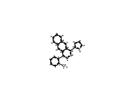 FC(F)(F)c1ccccc1-c1nnc(-c2cccs2)c2cc3ccccc3cc12